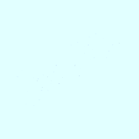 CCC1(CC)c2cc(-c3c4ccccc4c(-c4ccc(C#N)c5ccccc45)c4ccccc34)ccc2-c2cc3c4ccccc4c4ccccc4c3cc21